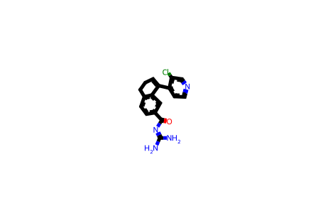 NC(N)=NC(=O)c1ccc2c(c1)C(c1ccncc1Cl)=CCC2